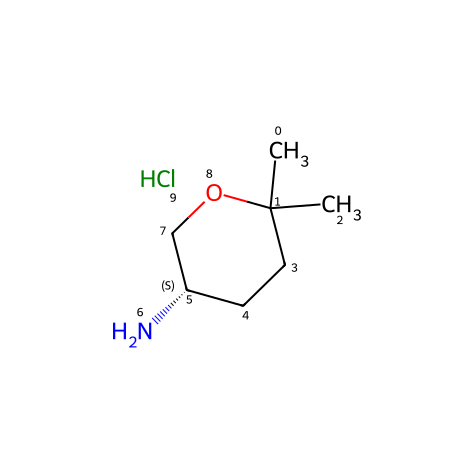 CC1(C)CC[C@H](N)CO1.Cl